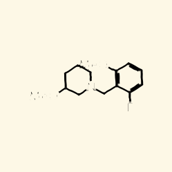 COc1cccc(F)c1CN1CCCC(OC)C1